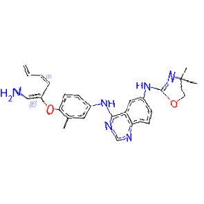 C=C/C=C\C(=C/N)Oc1ccc(Nc2ncnc3ccc(NC4=NC(C)(C)CO4)cc23)cc1C